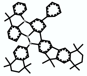 CC1(C)CCC(C)(C)c2cc(N3B4c5cccc6c5N(c5ccccc5C6(C)C)c5cc(-c6ccccc6)cc(c54)-c4cc5c(cc43)C(C)(C)c3cc4c(cc3-5)C(C)(C)CCC4(C)C)ccc21